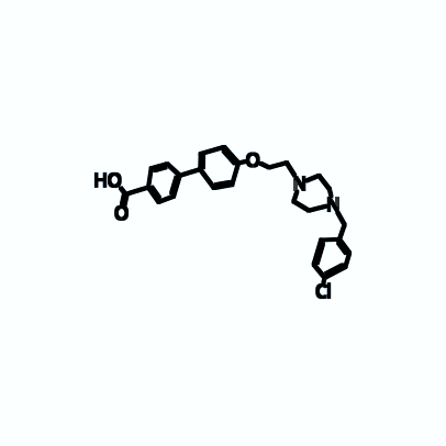 O=C(O)c1ccc(-c2ccc(OCCN3CCN(Cc4ccc(Cl)cc4)CC3)cc2)cc1